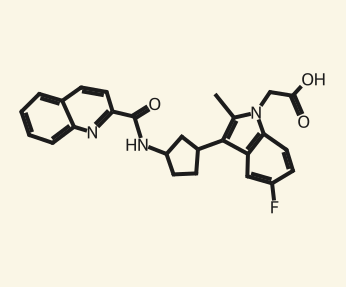 Cc1c(C2CCC(NC(=O)c3ccc4ccccc4n3)C2)c2cc(F)ccc2n1CC(=O)O